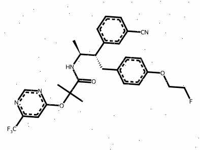 C[C@H](NC(=O)C(C)(C)Oc1cc(C(F)(F)F)ncn1)[C@@H](Cc1ccc(OCCF)cc1)c1cccc(C#N)c1